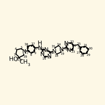 CC1(O)CCCN(c2ccc(Nc3ncnc(N4CCN(c5ncc(Cc6ccccc6)cn5)CC4)n3)cc2)C1